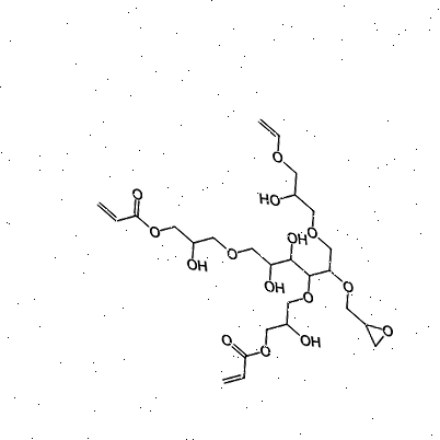 C=COCC(O)COCC(OCC1CO1)C(OCC(O)COC(=O)C=C)C(O)C(O)COCC(O)COC(=O)C=C